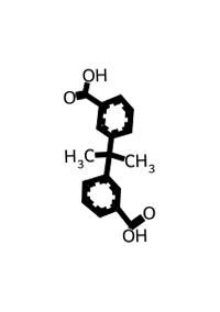 CC(C)(c1cccc(C(=O)O)c1)c1cccc(C(=O)O)c1